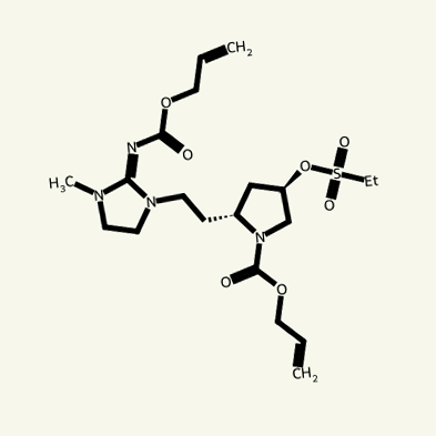 C=CCOC(=O)N=C1N(C)CCN1CC[C@@H]1C[C@@H](OS(=O)(=O)CC)CN1C(=O)OCC=C